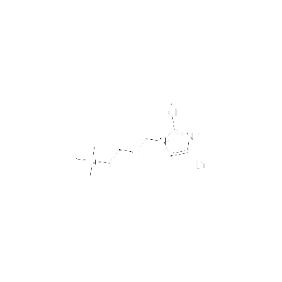 C[Si](C)(C)CCOCn1cc(Br)nc1Cl